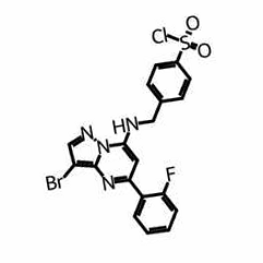 O=S(=O)(Cl)c1ccc(CNc2cc(-c3ccccc3F)nc3c(Br)cnn23)cc1